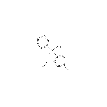 [CH2]C=CC(CCC)(c1ccccc1)c1ccc(CC)cc1